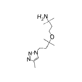 Cc1cn(CCC(C)(C)OCCC(C)(C)N)nn1